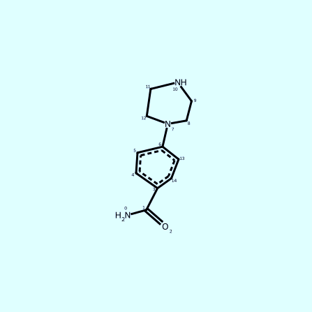 NC(=O)c1ccc(N2CCNCC2)cc1